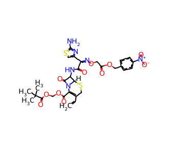 C=CC1=C(C(=O)OCOC(=O)C(C)(C)C)N2C(=O)C(NC(=O)/C(=N\OCC(=O)OCc3ccc([N+](=O)[O-])cc3)c3csc(N)n3)[C@H]2SC1